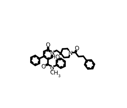 CN(C(=O)c1cn(CC2(O)CCN(C(=O)CCc3ccccc3)CC2)c(=O)cc1-c1ccccc1)c1ccccc1